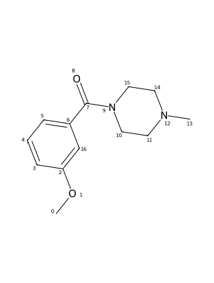 COc1c[c]cc(C(=O)N2CCN(C)CC2)c1